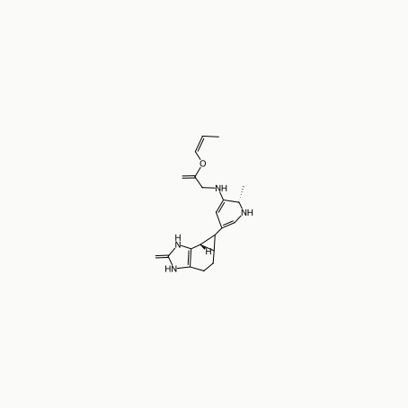 C=C1NC2=C(N1)[C@H]1C(CC2)C1C1=CN[C@@H](C)C(NCC(=C)O/C=C\C)=C1